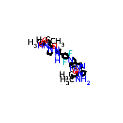 COC(=O)N[C@H](C(=O)N1CCC[C@H]1c1ncc(-c2cc(F)c(N3CCC(c4cnc([C@@H]5CCCN5C(=O)[C@@H](N)C(C)C)[nH]4)[C@H]4CC43)c(F)c2)[nH]1)C(C)C